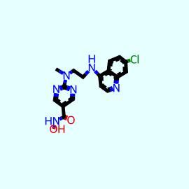 CN(CCNc1ccnc2cc(Cl)ccc12)c1ncc(C(=O)NO)cn1